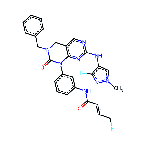 Cn1cc(Nc2ncc3c(n2)N(c2cccc(NC(=O)/C=C/CF)c2)C(=O)N(Cc2ccccc2)C3)c(F)n1